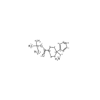 CC(C)(C)OC(=O)N1CCC(CN)(c2ccncc2)CC1